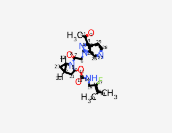 CC(=O)c1nn(CC(=O)N2[C@@H](OC(=O)NCC(F)=C(C)C)C[C@H]3C[C@H]32)c2cnccc12